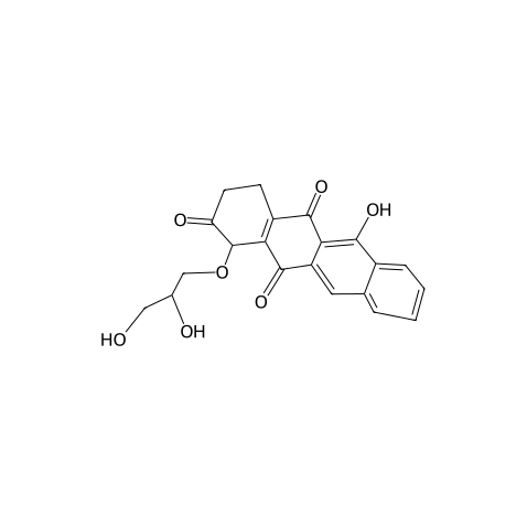 O=C1C2=C(CCC(=O)C2OCC(O)CO)C(=O)c2c1cc1ccccc1c2O